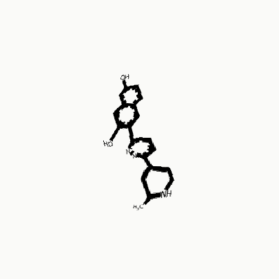 CC1CC(c2ccc(-c3cc4ccc(O)cc4cc3O)nn2)=CCN1